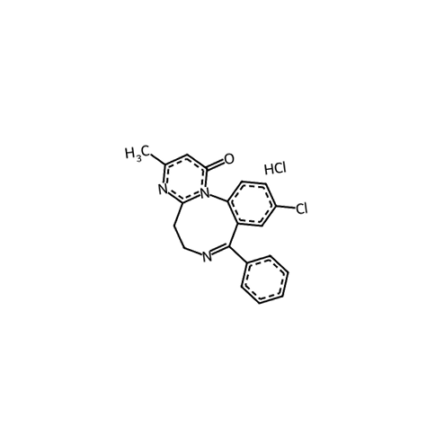 Cc1cc(=O)n2c(n1)CCN=C(c1ccccc1)c1cc(Cl)ccc1-2.Cl